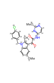 COc1ccc2c(c1)c(C(=O)C(=O)Nc1ccnc(OC)n1)c(C)n2Cc1ccc(Cl)cc1